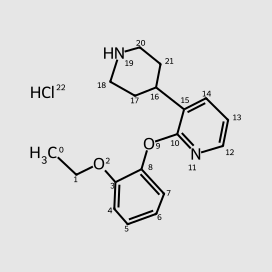 CCOc1ccccc1Oc1ncccc1C1CCNCC1.Cl